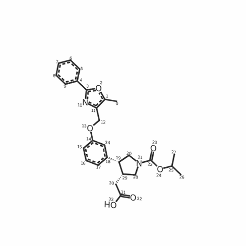 Cc1oc(-c2ccccc2)nc1COc1cccc([C@@H]2CN(C(=O)OC(C)C)C[C@@H]2CC(=O)O)c1